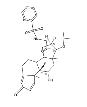 CC1(C)O[C@@H]2CC3C4CCC5=CC(=O)C=CC5(C)[C@@]4(F)[C@@H](O)CC3(C)[C@]2(C(=O)CNS(=O)(=O)c2ccccn2)O1